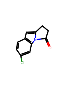 O=C1CCc2cc3ccc(Cl)cc3n21